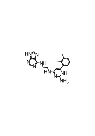 Cc1cccc(C2=CC(NCCNc3ncnc4[nH]cnc34)=NC(N)N2)c1C